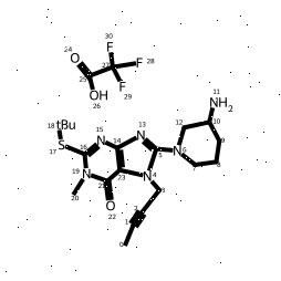 CC#CCn1c(N2CCCC(N)C2)nc2nc(SC(C)(C)C)n(C)c(=O)c21.O=C(O)C(F)(F)F